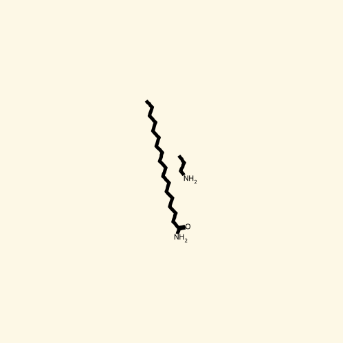 CCCCCCCCCCCCCCCCCC(N)=O.CCCN